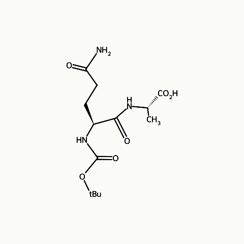 C[C@H](NC(=O)[C@H](CCC(N)=O)NC(=O)OC(C)(C)C)C(=O)O